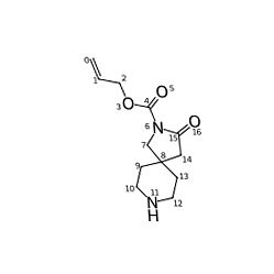 C=CCOC(=O)N1CC2(CCNCC2)CC1=O